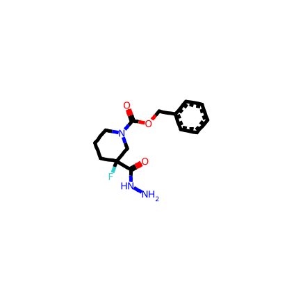 NNC(=O)C1(F)CCCN(C(=O)OCc2ccccc2)C1